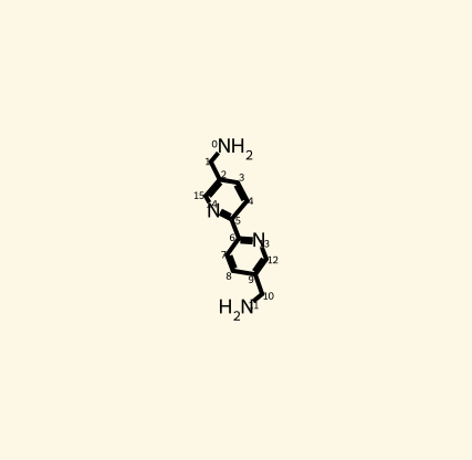 NCc1ccc(-c2ccc(CN)cn2)nc1